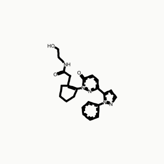 O=C(CC1=C(n2nc(-c3ccnn3-c3ccccc3)ccc2=O)CCCC1)NCCO